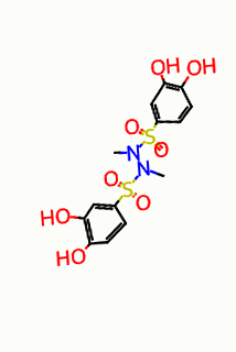 CN(N(C)S(=O)(=O)c1ccc(O)c(O)c1)S(=O)(=O)c1ccc(O)c(O)c1